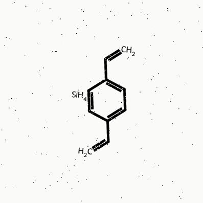 C=Cc1ccc(C=C)cc1.[SiH4]